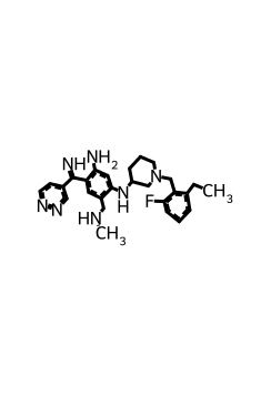 CCc1cccc(F)c1CN1CCCC(Nc2cc(N)c(C(=N)c3ccnnc3)cc2CNC)C1